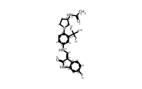 CC(=O)NC1CCN(c2ccc(N/C=C3\C(=O)Nc4cc(F)ccc43)cc2C(F)(F)F)C1